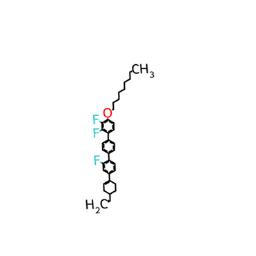 C=CC1CC=C(c2ccc(-c3ccc(-c4ccc(OCCCCCCCCC)c(F)c4F)cc3)c(F)c2)CC1